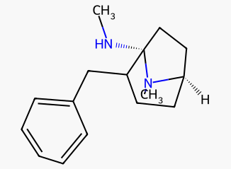 CN[C@@]12CC[C@@H](CCC1Cc1ccccc1)N2C